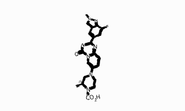 C[C@H]1CN(c2ccc3nc(-c4cc(F)c5nn(C)cc5c4)nc(=O)n3c2)CCN1C(=O)O